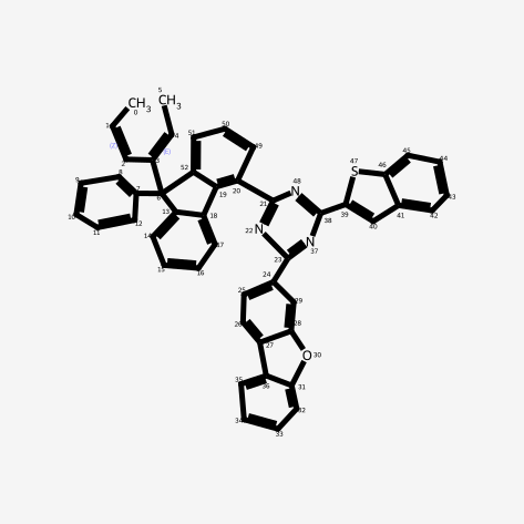 C/C=C\C(=C/C)C1(c2ccccc2)c2ccccc2-c2c(-c3nc(-c4ccc5c(c4)oc4ccccc45)nc(-c4cc5ccccc5s4)n3)cccc21